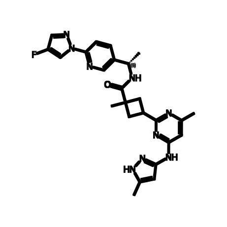 Cc1cc(Nc2cc(C)[nH]n2)nc(C2CC(C)(C(=O)N[C@@H](C)c3ccc(-n4cc(F)cn4)nc3)C2)n1